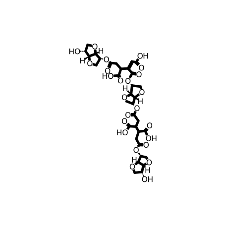 O=C(O)/C=C(\C(=O)O[C@@H]1CO[C@H]2[C@@H]1OC[C@H]2OC(=O)CC(C(=O)O)C(CC(=O)O[C@H]1CO[C@H]2[C@@H]1OC[C@H]2O)C(=O)O)C(CC(=O)O[C@@H]1CO[C@H]2[C@@H]1OC[C@H]2O)C(=O)O